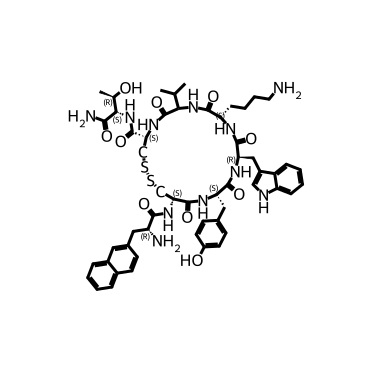 CC(C)C1NC(=O)[C@H](CCCCN)NC(=O)[C@@H](Cc2c[nH]c3ccccc23)NC(=O)[C@H](Cc2ccc(O)cc2)NC(=O)[C@H](NC(=O)[C@H](N)Cc2ccc3ccccc3c2)CSSC[C@H](C(=O)N[C@H](C(N)=O)[C@@H](C)O)NC1=O